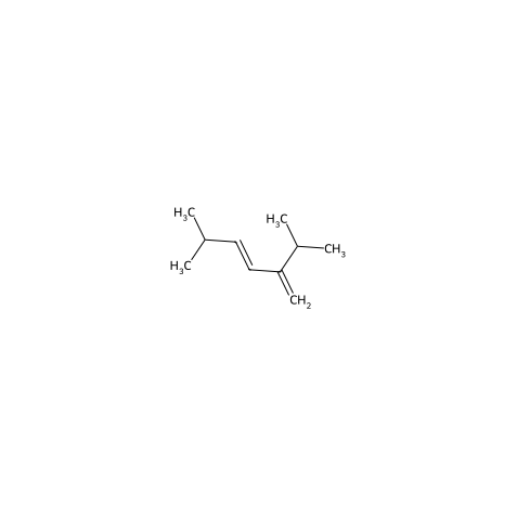 C=C(C=CC(C)C)C(C)C